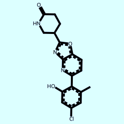 Cc1cc(Cl)cc(O)c1-c1ccc2oc(C3CCC(=O)NC3)nc2n1